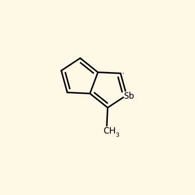 C[C]1=C2C=CC=C2[C]=[Sb]1